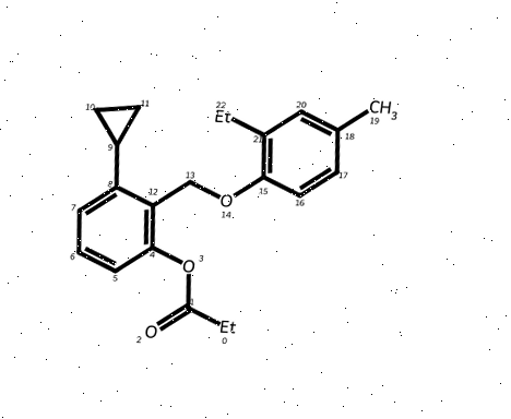 CCC(=O)Oc1cccc(C2CC2)c1COc1ccc(C)cc1CC